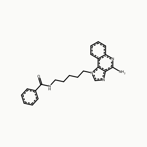 Nc1nc2ccccc2c2c1ncn2CCCCCNC(=O)c1ccccc1